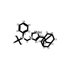 CC(C)(C)P(CN1[C]NC(C23CC4CC(CC(C4)C2)C3)=C1)c1ccccc1